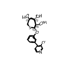 O[C@@H]1[C@@H](O)[C@@H](Oc2cccc(-c3ccncc3Cl)c2)SC[C@H]1O